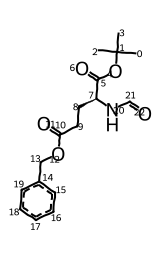 CC(C)(C)OC(=O)[C@H](CCC(=O)OCc1ccccc1)NC=O